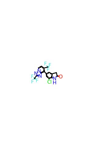 O=C1Cc2cc(-c3c(C(F)(F)F)ccn4nc(C(F)(F)F)nc34)cc(Cl)c2N1